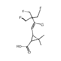 CC1(C)C(/C=C(\Cl)C(CF)(CF)CF)C1C(=O)O